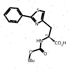 CC(C)(C)OC(=O)N[C@@H](Cc1csc(-c2ccccc2)n1)C(=O)O